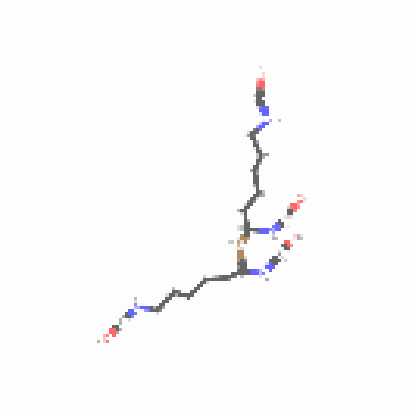 O=C=NCCCCCC(N=C=O)=S=C(CCCCCN=C=O)N=C=O